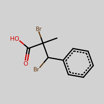 CC(Br)(C(=O)O)C(Br)c1ccccc1